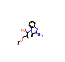 C=C1C(N)=Nc2ccccc2N1/C(O)=C(\C)COCC